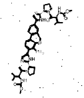 C=C(C(NC(=O)OC)C(C)C)N1CCC[C@H]1c1ncc(-c2ccc3c(c2P)OCc2cc(-c4cnc([C@@H]5CCCN5C(=O)[C@@H](NC(=O)OC)C(C)C)[nH]4)ccc2-3)[nH]1